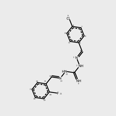 N=C(N/N=C/c1ccc(Cl)cc1)N/N=C/c1ccccc1F